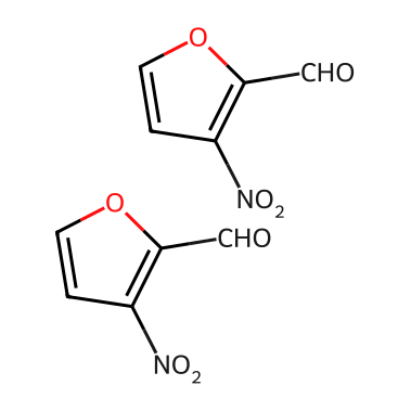 O=Cc1occc1[N+](=O)[O-].O=Cc1occc1[N+](=O)[O-]